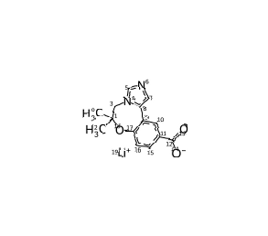 CC1(C)Cn2cncc2-c2cc(C(=O)[O-])ccc2O1.[Li+]